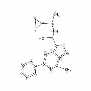 Cc1nc(-c2ccccc2)nc2c(C(=O)NC(C)C3CC3)ccn12